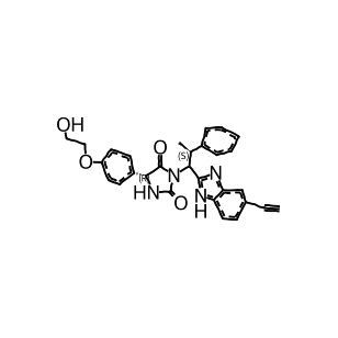 C#Cc1ccc2[nH]c(C([C@@H](C)c3ccccc3)N3C(=O)N[C@H](c4ccc(OCCO)cc4)C3=O)nc2c1